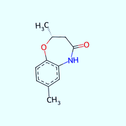 Cc1ccc2c(c1)NC(=O)C[C@@H](C)O2